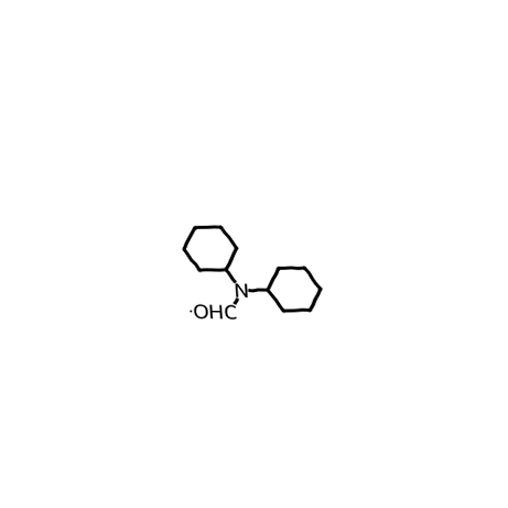 O=[C]N(C1CCCCC1)C1CCCCC1